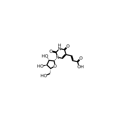 O=C(O)/C=C/c1cn([C@@H]2O[C@H](CO)[C@@H](O)[C@@H]2O)c(=O)[nH]c1=O